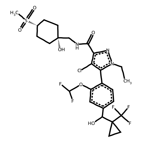 CCn1nc(C(=O)NC[C@]2(O)CC[C@@H](S(C)(=O)=O)CC2)c(Cl)c1-c1ccc(C(O)C2(C(F)(F)F)CC2)cc1OC(F)F